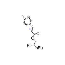 CCCCC(CC)COC(=O)/C=C/c1ccc(C)nc1